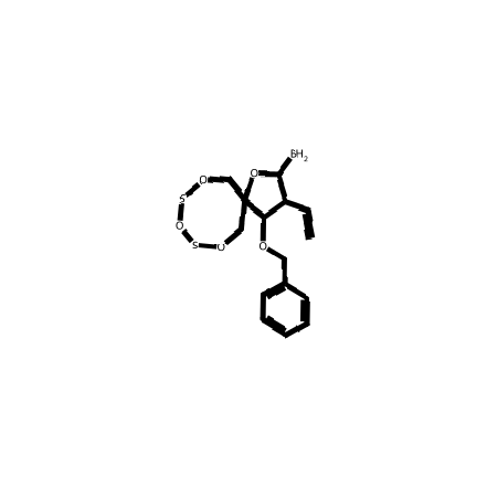 BC1OC2(COSOSOC2)C(OCc2ccccc2)C1C=C